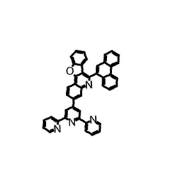 c1ccc(-c2cc(-c3ccc4c(c3)nc(-c3cc5ccccc5c5ccccc35)c3c5ccccc5oc43)cc(-c3ccccn3)n2)nc1